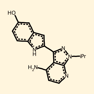 CC(C)n1nc(-c2cc3cc(O)ccc3[nH]2)c2c(N)ccnc21